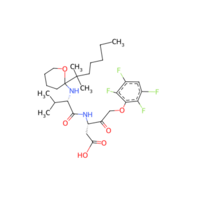 CCCCCC(C)(C)C1(N[C@H](C(=O)N[C@@H](CC(=O)O)C(=O)COc2c(F)c(F)cc(F)c2F)C(C)C)CCCCO1